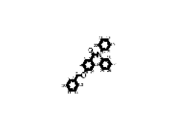 O=C(c1ccc(OCc2ccccc2)cc1)N(c1ccccc1)c1ccccc1